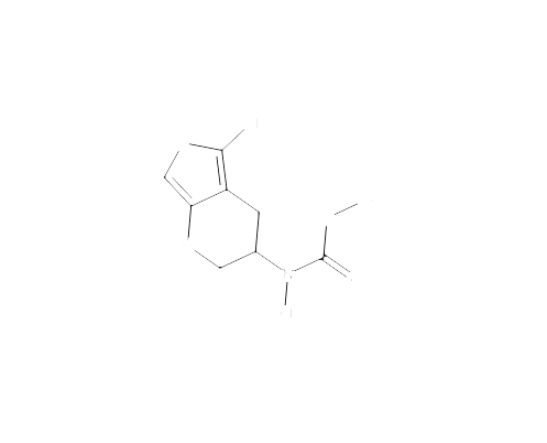 CN(C(=O)OC(C)(C)C)C1COc2csc(Cl)c2C1